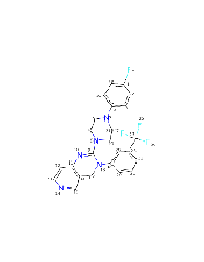 Fc1ccc(N2CCN(C3=Nc4ccncc4[CH]N3c3cccc(C(F)(F)F)c3)CC2)cc1